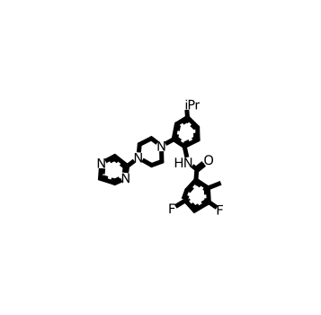 Cc1c(F)cc(F)cc1C(=O)Nc1ccc(C(C)C)cc1N1CCN(c2cnccn2)CC1